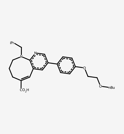 CCCCOCCOc1ccc(-c2cnc3c(c2)/C=C(/C(=O)O)CCCN3CC(C)C)cc1